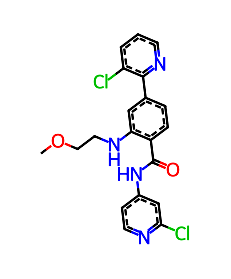 COCCNc1cc(-c2ncccc2Cl)ccc1C(=O)Nc1ccnc(Cl)c1